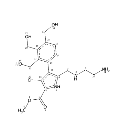 COC(=O)c1[nH]c(CNCCN)c(-c2ccc(CO)c(CO)c2CO)c1Cl